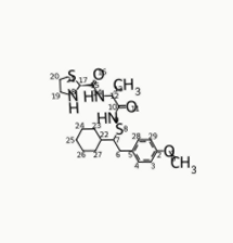 COc1ccc(CC(SNC(=O)[C@@H](C)NC(=O)[C@H]2NCCS2)C2CCCCC2)cc1